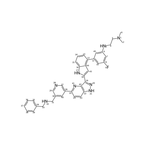 CN(C)CCNc1cc(F)cc(-c2cccc3[nH]c(-c4n[nH]c5ccc(-c6cncc(CNCc7ccccc7)c6)nc45)cc23)c1